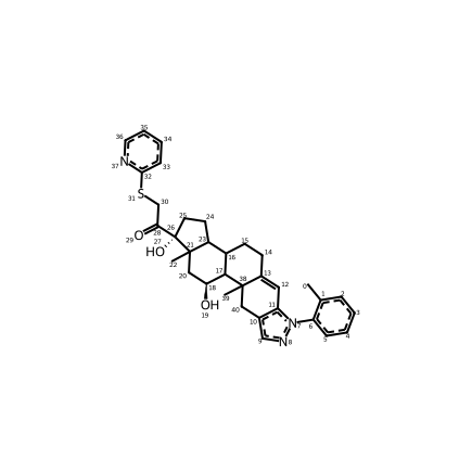 Cc1ccccc1-n1ncc2c1C=C1CCC3C([C@@H](O)CC4(C)C3CC[C@]4(O)C(=O)CSc3ccccn3)C1(C)C2